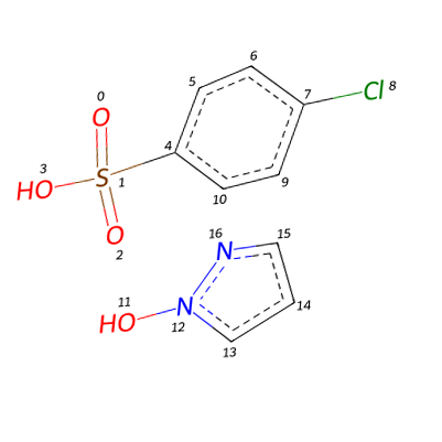 O=S(=O)(O)c1ccc(Cl)cc1.On1cccn1